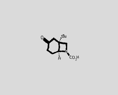 CC(C)(C)[C@@]12CC(=O)CC[C@@H]1N(C(=O)O)C2